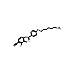 CCCCCCCOc1ccc(C(=O)Oc2ccc(C#N)c(F)c2F)cc1